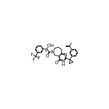 C=C(C)c1cccc(C2(c3nc4c(c(=O)[nH]3)CN(C(=O)[C@H](O)c3cccc(C(F)(F)F)c3)CCC4)CC2)c1